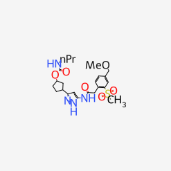 CCCNC(=O)OC1CCC(c2cc(NC(=O)Cc3ccc(COC)cc3S(C)(=O)=O)[nH]n2)C1